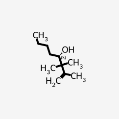 C=C(C)C(C)(C)[C@@H](O)CCCC